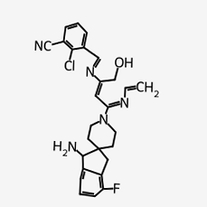 C=C\N=C(/C=C(CO)/N=C/c1cccc(C#N)c1Cl)N1CCC2(CC1)Cc1c(F)cccc1C2N